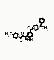 CC1CCN(C(=O)C(=O)c2c[nH]c3ccc(C(=O)N4CCN(C(C)c5ccccc5)CC4)cc23)CC1